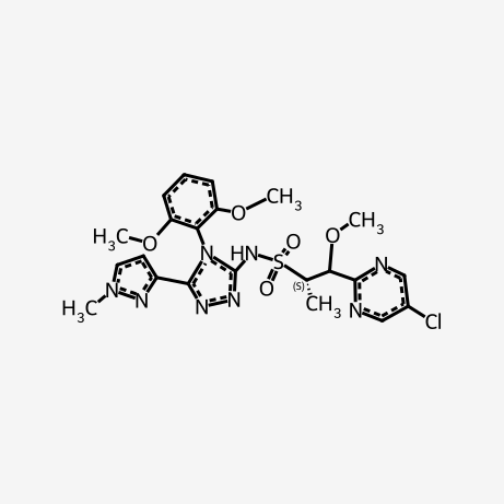 COc1cccc(OC)c1-n1c(NS(=O)(=O)[C@@H](C)C(OC)c2ncc(Cl)cn2)nnc1-c1ccn(C)n1